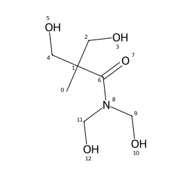 CC(CO)(CO)C(=O)N(CO)CO